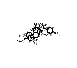 CCN1CC2(COC)C3C(OC)C4C1C3(C1C[C@@]3(O)[C@H](OC(=O)c5ccc(C(F)(F)F)cc5)[C@@H]1[C@]4(OC(C)=O)C(O)[C@@H]3OC)[C@@H](OC)C[C@H]2O